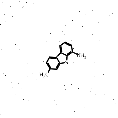 Cc1ccc2c(c1)sc1c(N)cccc12